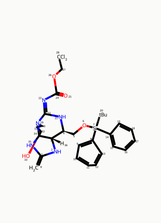 C=C1N[C@H]2[C@H](CO[Si](c3ccccc3)(c3ccccc3)C(C)(C)C)N/C(=N\C(=O)OCC(Cl)(Cl)Cl)N3C=C[C@@H](O)C23N1